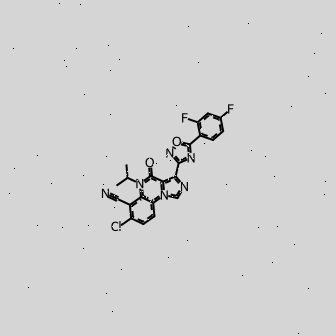 CC(C)n1c(=O)c2c(-c3noc(-c4ccc(F)cc4F)n3)ncn2c2ccc(Cl)c(C#N)c21